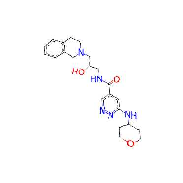 O=C(NC[C@H](O)CN1CCc2ccccc2C1)c1cnnc(NC2CCOCC2)c1